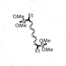 CCC(SSSSSSC(CC)[Si](C)(OC)OC)[Si](C)(OC)OC